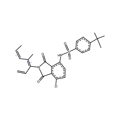 C=C/C(=C(C)\C=C/C)N1C(=O)c2c(Cl)ccc(NS(=O)(=O)c3ccc(C(C)(C)C)cc3)c2C1=O